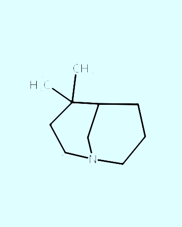 CC1(C)CCN2CCCC1C2